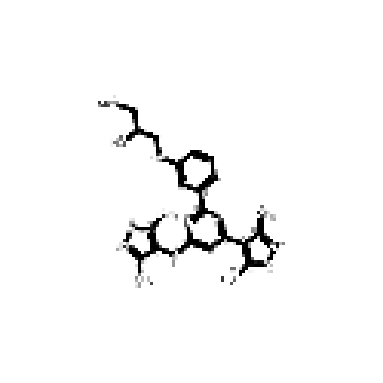 CNCC(O)COc1cccc(-c2nc(Nc3c(C)noc3C)cc(-c3c(C)noc3C)n2)c1